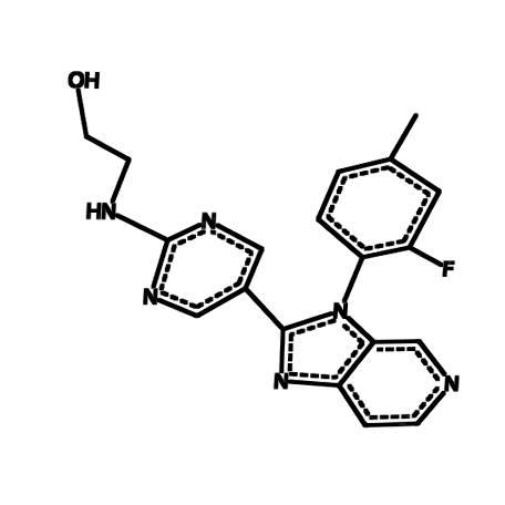 Cc1ccc(-n2c(-c3cnc(NCCO)nc3)nc3ccncc32)c(F)c1